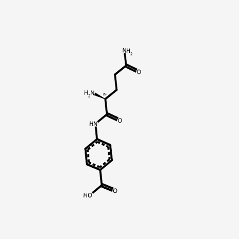 NC(=O)CC[C@H](N)C(=O)Nc1ccc(C(=O)O)cc1